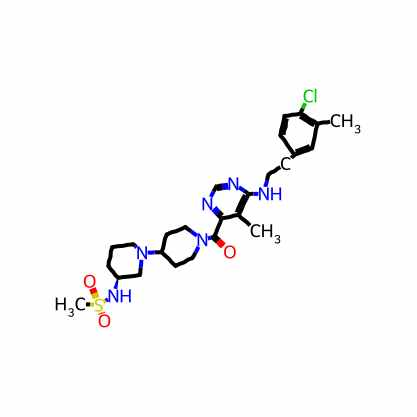 Cc1cc(CCNc2ncnc(C(=O)N3CCC(N4CCC[C@H](NS(C)(=O)=O)C4)CC3)c2C)ccc1Cl